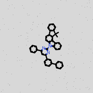 CC1(C)c2ccccc2-c2ccc3c(c21)c1ccccc1n3-c1nc(-c2ccccc2)cc(-c2cccc(-c3ccccc3)c2)n1